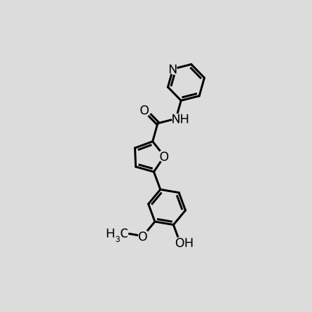 COc1cc(-c2ccc(C(=O)Nc3cccnc3)o2)ccc1O